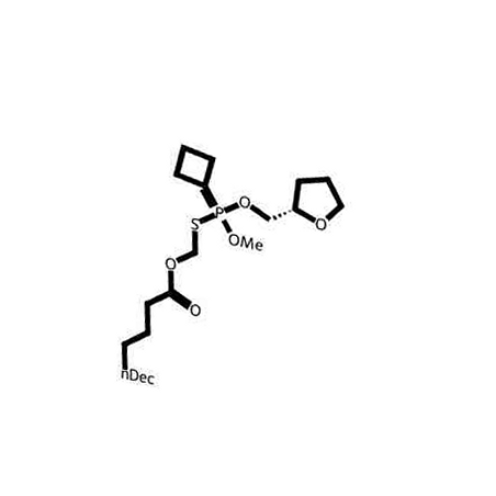 CCCCCCCCCCCCCC(=O)OCSP(OC)(OC[C@@H]1CCCO1)=C1CCC1